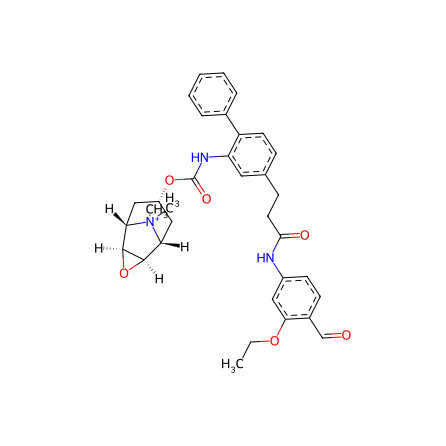 CCOc1cc(NC(=O)CCc2ccc(-c3ccccc3)c(NC(=O)O[C@@H]3C[C@@H]4[C@H]5O[C@H]5[C@H](C3)[N+]4(C)C)c2)ccc1C=O